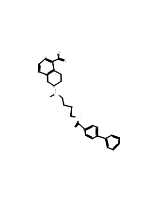 CCCN(CCCCNC(=O)c1ccc(-c2ccccc2)cc1)[C@@H]1CCc2c(cccc2C(N)=O)C1